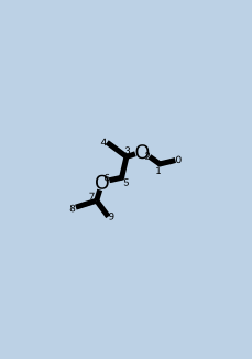 CCOC(C)COC(C)C